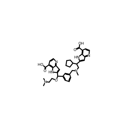 CN(C)CCOC(c1cccc(CN(C)CC(c2cc3nccc(C(=O)O)c3[nH]2)C2CCCC2)c1)c1cc2nccc(C(=O)O)c2[nH]1